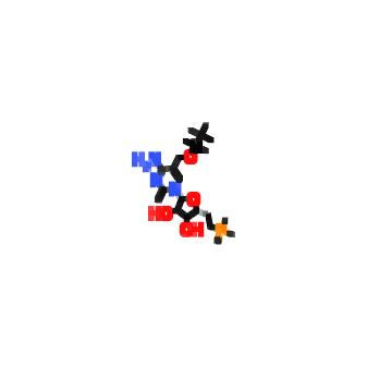 C=C1N=C(N)C(CO[Si](C)(C)C(C)(C)C)=CN1[C@@H]1O[C@H](CCP(=C)(C)C)[C@@H](O)C1O